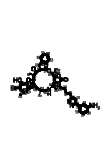 CCO[C@@H](O[C@@H]1[C@@H](C)C(=O)[C@@H](Cc2ccccc2)C(=O)O[C@H](CC)[C@@]2(C)OC(=O)N(CCCCn3cc(-c4cccc(N)c4)nn3)[C@@H]2[C@@H](C)NC[C@H](C)C[C@@]1(C)OC)C(O)C(CC)N(C)C